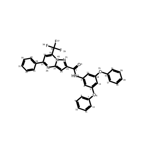 O=C(Nc1cc(Oc2ccccc2)cc(Oc2ccccc2)c1)c1cc2nc(-c3ccccc3)cc(C(F)(F)F)n2n1